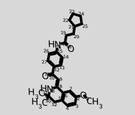 COc1ccc2c(c1)/C(=C/C(=O)c1ccc(NC(=O)CCC3CCCC3)cc1)NC(C)(C)C2